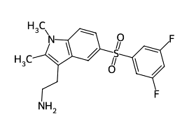 Cc1c(CCN)c2cc(S(=O)(=O)c3cc(F)cc(F)c3)ccc2n1C